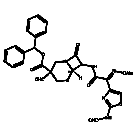 CON=C(C(=O)NC1C(=O)N2CC(C=O)(C(=O)OC(c3ccccc3)c3ccccc3)CS[C@H]12)c1csc(NC=O)n1